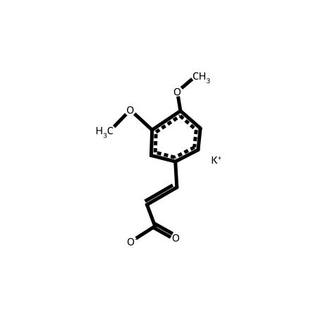 COc1ccc(C=CC(=O)[O-])cc1OC.[K+]